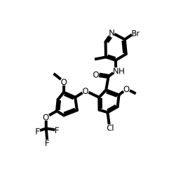 COc1cc(OC(F)(F)F)ccc1Oc1cc(Cl)cc(OC)c1C(=O)Nc1cc(Br)ncc1C